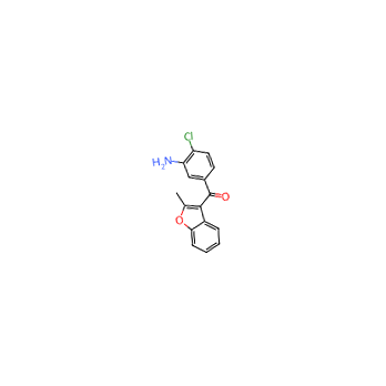 Cc1oc2ccccc2c1C(=O)c1ccc(Cl)c(N)c1